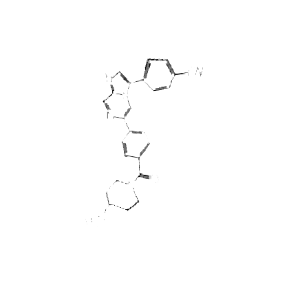 N#Cc1ccc(-c2cnc3cnc(-c4ccc(C(=O)N5CCC(N)CC5)cc4)cn23)cc1